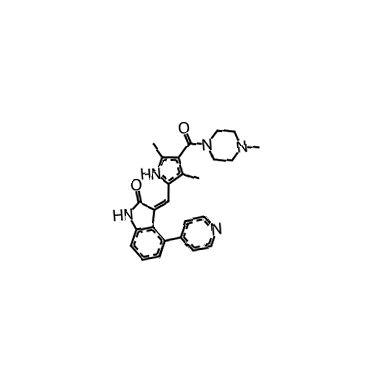 Cc1[nH]c(C=C2C(=O)Nc3cccc(-c4ccncc4)c32)c(C)c1C(=O)N1CCN(C)CC1